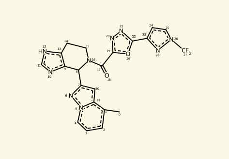 Cc1cccn2nc(C3c4nc[nH]c4CCN3C(=O)c3nnc(-c4ccn(C(F)(F)F)n4)o3)cc12